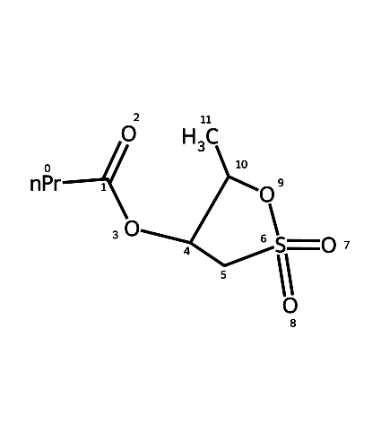 CCCC(=O)OC1CS(=O)(=O)OC1C